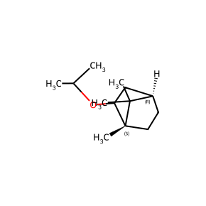 CC(C)OC1C[C@H]2CC[C@@]1(C)C2(C)C